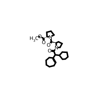 COC(=O)[C@@H]1CCCN1C(=O)[C@H]1CCCN1C(=O)C(C1=CCCCCC1)C1CCCCC1